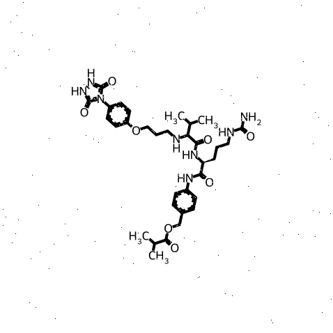 CC(C)C(=O)OCc1ccc(NC(=O)[C@H](CCCNC(N)=O)NC(=O)C(NCCCOc2ccc(-n3c(=O)[nH][nH]c3=O)cc2)C(C)C)cc1